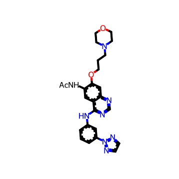 CC(=O)Nc1cc2c(Nc3cccc(-n4nccn4)c3)ncnc2cc1OCCCN1CCOCC1